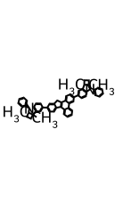 CC12CCC1(C)N(c1ccccc1)c1ccc(-c3ccc4c(c3)Cc3c-4c4ccccc4c4cc(-c5ccc6c(c5)C5(C)CCC5(C)N6c5ccccc5)ccc34)cc12